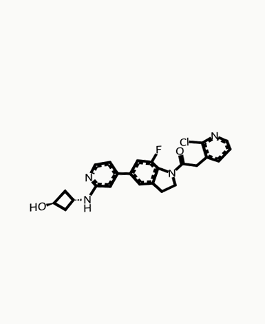 O=C(Cc1cccnc1Cl)N1CCc2cc(-c3ccnc(N[C@H]4C[C@H](O)C4)c3)cc(F)c21